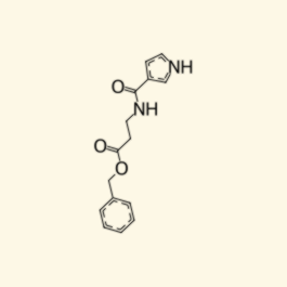 O=C(CCNC(=O)c1cc[nH]c1)OCc1ccccc1